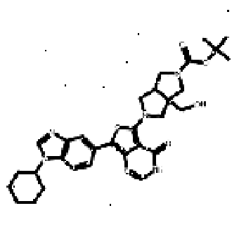 CC(C)(C)OC(=O)N1CC2CN(c3sc(-c4ccc5c(c4)ncn5C4CCCCC4)c4nc[nH]c(=O)c34)CC2(CO)C1